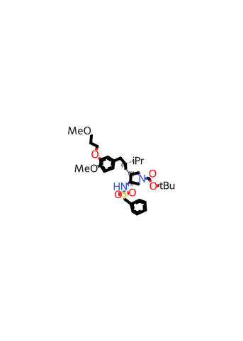 COCCCOc1cc(C[C@@H](C[C@@H]2CN(C(=O)OC(C)(C)C)C[C@H]2NS(=O)(=O)Cc2ccccc2)C(C)C)ccc1OC